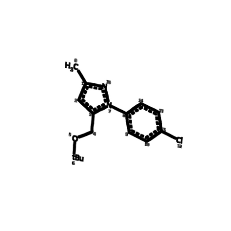 Cc1cc(COC(C)(C)C)n(-c2ccc(Cl)cc2)n1